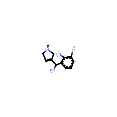 CN1CC=C(C(N)c2cccc(Cl)c2N)C1